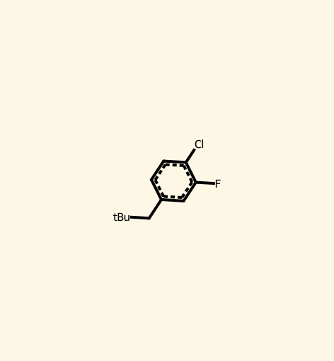 CC(C)(C)Cc1ccc(Cl)c(F)c1